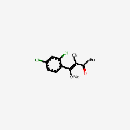 CO/C(=C(/C#N)C(=O)C(C)(C)C)c1ccc(Cl)cc1Cl